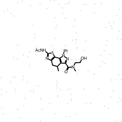 CC(=O)Nc1nc2c(s1)-c1c(c(C(=O)N(C)CCO)nn1C(C)C)C(C)C2